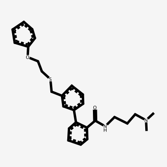 CN(C)CCCNC(=O)c1ccccc1-c1cccc(CSCCOc2ccccc2)c1